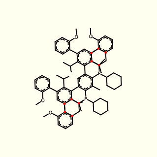 COc1ccccc1-c1cc(-c2ccccc2OC)c(C(C)C)c(-c2cc(-c3c(C(C)C)c(-c4ccccc4OC)cc(-c4ccccc4OC)c3C(C)C)c(P(C3CCCCC3)C3CCCCC3)c(C)c2P(C2CCCCC2)C2CCCCC2)c1C(C)C